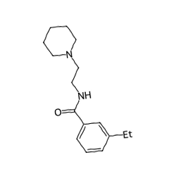 CCc1cccc(C(=O)NCCN2CCCCC2)c1